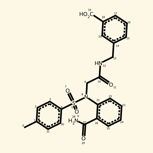 Cc1ccc(S(=O)(=O)N(CC(=O)NCc2cccc(C(=O)O)c2)c2ccccc2C(N)=O)cc1